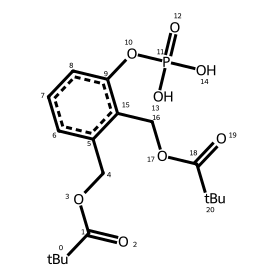 CC(C)(C)C(=O)OCc1cccc(OP(=O)(O)O)c1COC(=O)C(C)(C)C